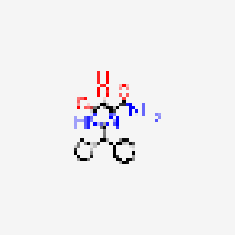 NC(=O)c1nc(C(c2ccccc2)C2CCCC2)[nH]c(=O)c1O